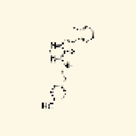 Cc1ccccc1-c1cc2ncnc(NCCc3ccc(O)cc3)c2s1